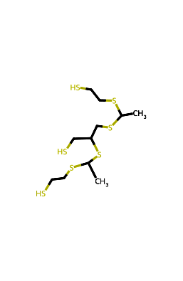 CC(SCCS)SCC(CS)SC(C)SCCS